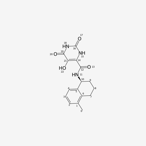 Cc1cccc2c1CCC[C@@H]2NC(=O)c1[nH]c(=O)[nH]c(=O)c1O